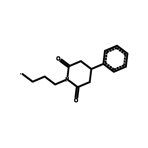 [CH2]CCCN1C(=O)CC(c2ccccc2)CC1=O